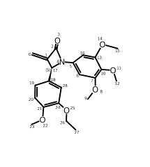 C=C1C(=O)N(c2cc(OC)c(OC)c(OC)c2)[C@H]1c1ccc(OC)c(OCC)c1